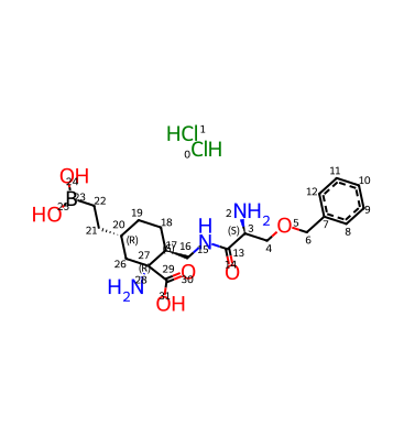 Cl.Cl.N[C@@H](COCc1ccccc1)C(=O)NC[C@@H]1CC[C@@H](CCB(O)O)C[C@]1(N)C(=O)O